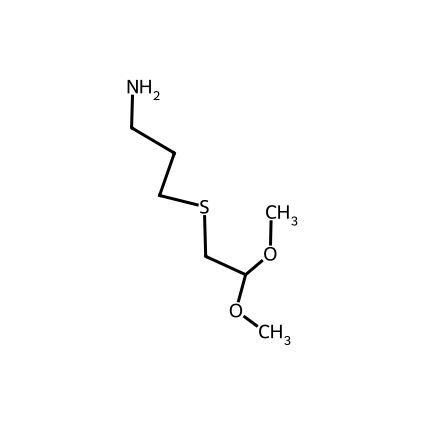 COC(CSCCCN)OC